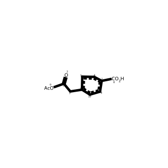 CC(=O)OC(=O)Cc1ccc(C(=O)O)cc1